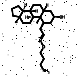 C[C@@]12CCC[C@H]1[C@@H]1CC[C@@H]3C[C@@H](O)CC(C/C=N/OCCCN)[C@]3(C)[C@H]1CC2